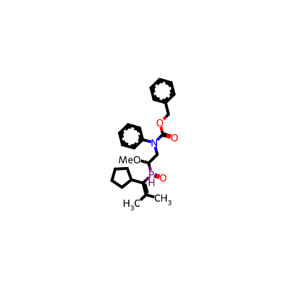 COC(CN(C(=O)OCc1ccccc1)c1ccccc1)[PH](=O)C(=C(C)C)C1CCCC1